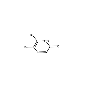 O=c1ccc(F)c(Br)[nH]1